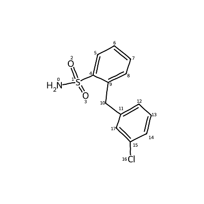 NS(=O)(=O)c1ccccc1Cc1cccc(Cl)c1